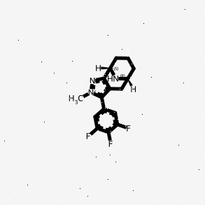 Cn1nc2c(c1-c1cc(F)c(F)c(F)c1)C[C@H]1CCC[C@@H]2N1